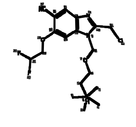 C[SH](C)(C)(C)CCOCn1c(CCl)nc2cc(C#N)c(OCC(F)F)cc21